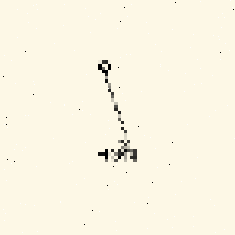 CN(CCCCCCCCC=CCCCCCCCC=O)CC(=O)O